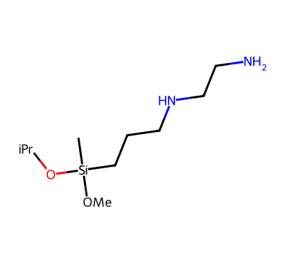 CO[Si](C)(CCCNCCN)OC(C)C